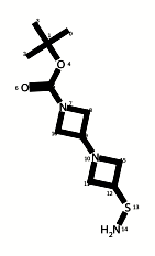 CC(C)(C)OC(=O)N1CC(N2CC(SN)C2)C1